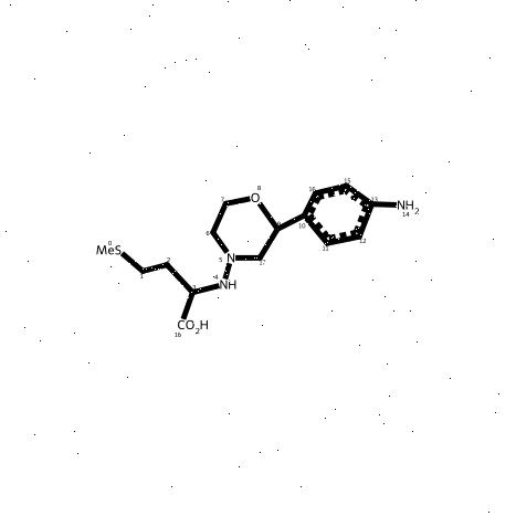 CSCCC(NN1CCOC(c2ccc(N)cc2)C1)C(=O)O